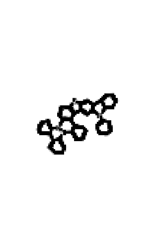 c1ccc(-n2c3ccccc3c3cc4sc5ccc6c(c5c4cc32)-c2ccccc2N2B6c3ccccc3-c3ccccc32)cc1